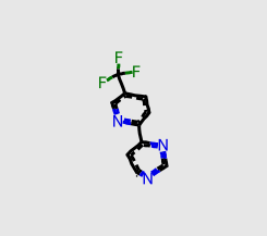 FC(F)(F)c1ccc(-c2c[c]ncn2)nc1